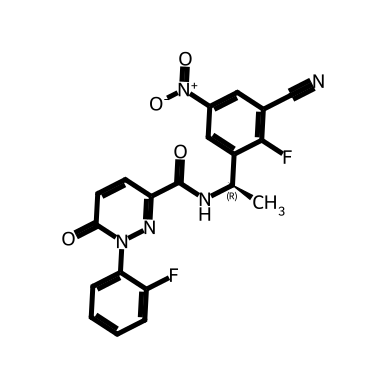 C[C@@H](NC(=O)c1ccc(=O)n(-c2ccccc2F)n1)c1cc([N+](=O)[O-])cc(C#N)c1F